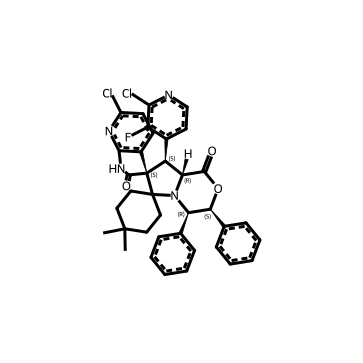 CC1(C)CCC2(CC1)N1[C@H](c3ccccc3)[C@H](c3ccccc3)OC(=O)[C@H]1[C@H](c1ccnc(Cl)c1F)[C@@]21C(=O)Nc2nc(Cl)ccc21